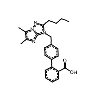 CCCCc1nn2c(C)c(C)nc2n1Cc1ccc(-c2ccccc2C(=O)O)cc1